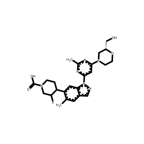 Cc1nc(N2CCO[C@@H](CO)C2)cc(-n2ncc3cc(C)c(C4CCN(C(=O)O)CC4F)cc32)n1